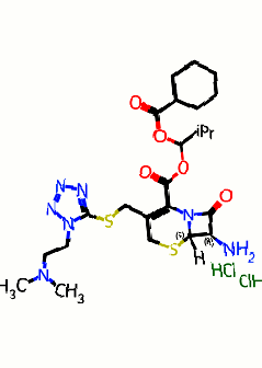 CC(C)C(OC(=O)C1=C(CSc2nnnn2CCN(C)C)CS[C@H]2[C@H](N)C(=O)N12)OC(=O)C1CCCCC1.Cl.Cl